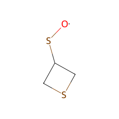 [O]SC1CSC1